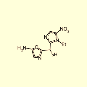 CCn1c([N+](=O)[O-])cnc1C(S)c1ncc(N)o1